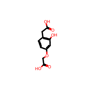 O=C(O)COc1ccc(CC(=O)O)c(O)c1